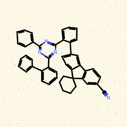 N#Cc1ccc2c(c1)C1(CCCCC1)c1ccc(-c3ccccc3-c3nc(-c4ccccc4)nc(-c4ccccc4-c4ccccc4)n3)cc1-2